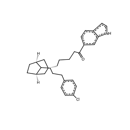 O=C(CCCC[C@@H]1C[C@H]2CC[C@@H](C1)C2CCCc1ccc(Cl)cc1)c1ccc2cc[nH]c2c1